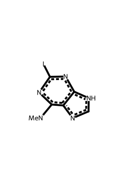 CNc1nc(I)nc2[nH]cnc12